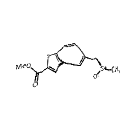 COC(=O)c1cc2cc(C[S+](C)[O-])ccc2s1